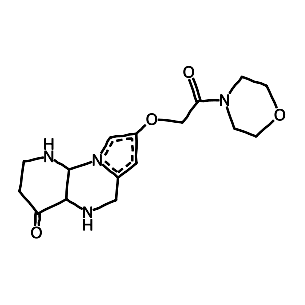 O=C1CCNC2C1NCc1cc(OCC(=O)N3CCOCC3)cn12